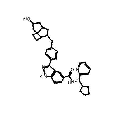 O=C(N[C@H](c1ccccn1)C1CCCC1)c1ccc2[nH]nc(-c3ccc(CC4CC5CC(O)CC56CCC46)cc3)c2c1